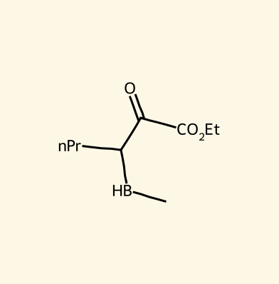 CBC(CCC)C(=O)C(=O)OCC